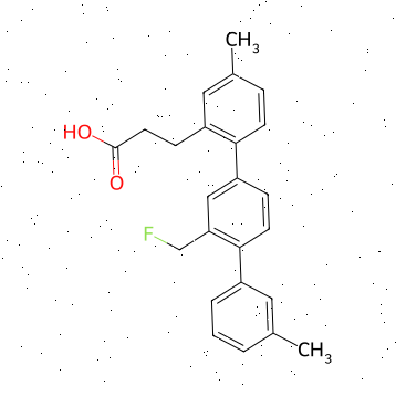 Cc1cccc(-c2ccc(-c3ccc(C)cc3CCC(=O)O)cc2CF)c1